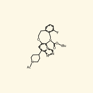 CC(=O)N1CCC(c2cc3c(n4cnnc24)N(C(=O)OC(C)(C)C)Cc2c(F)cccc2CCO3)CC1